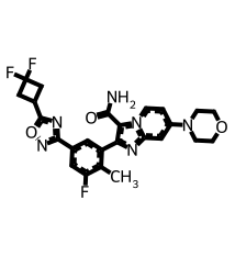 Cc1c(F)cc(-c2noc(C3CC(F)(F)C3)n2)cc1-c1nc2cc(N3CCOCC3)ccn2c1C(N)=O